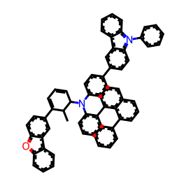 CC1C(c2ccc3oc4ccccc4c3c2)=CC=CC1N(c1ccc(-c2ccc3c(c2)c2ccccc2n3-c2ccccc2)cc1)c1ccccc1-c1cccc2cccc(-c3ccccc3)c12